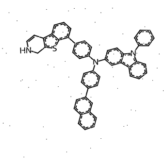 C1=Cc2c(sc3c(-c4ccc(N(c5ccc(-c6ccc7ccccc7c6)cc5)c5ccc6c(c5)c5ccccc5n6-c5ccccc5)cc4)cccc23)CN1